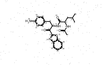 CC(=O)NC(CC(C)C)C(=O)NC(Cc1cnc(N)nc1)C(=O)c1nc2ccccc2s1